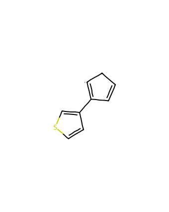 [C]1=C(c2ccsc2)C=CC1